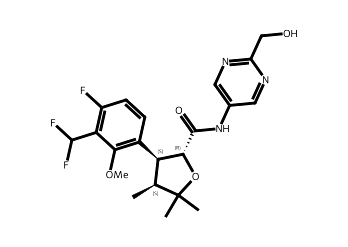 COc1c([C@H]2[C@H](C(=O)Nc3cnc(CO)nc3)OC(C)(C)[C@H]2C)ccc(F)c1C(F)F